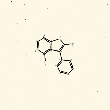 Clc1ncnc2sc(Br)c(-c3ccccc3)c12